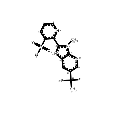 CCS(=O)(=O)c1cccnc1-c1nc2cc(C(C)(F)F)cnc2n1C